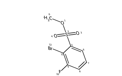 [CH2]OS(=O)(=O)c1cccc(F)c1Br